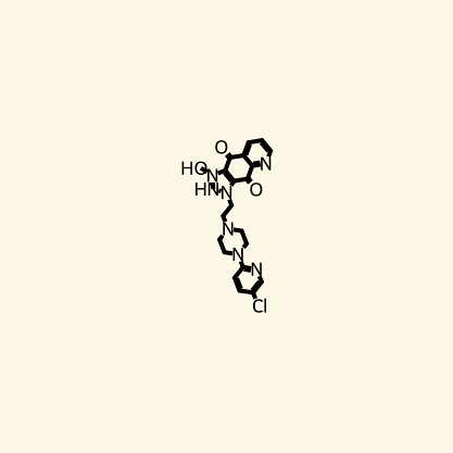 O=c1c2n(O)[nH]n(CCN3CCN(c4ccc(Cl)cn4)CC3)c=2c(=O)c2ncccc12